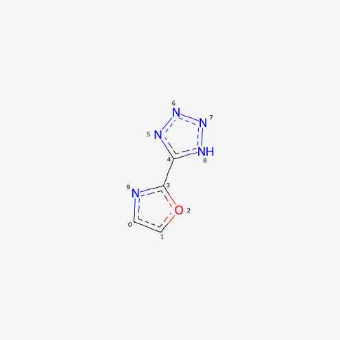 c1coc(-c2nnn[nH]2)n1